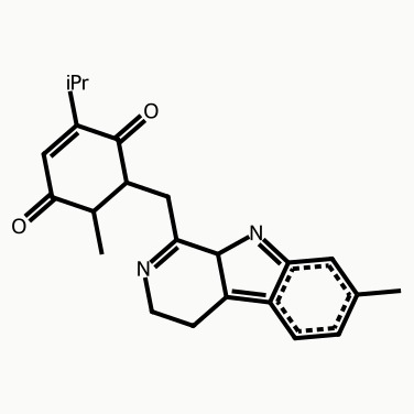 Cc1ccc2c(c1)=NC1C(CC3C(=O)C(C(C)C)=CC(=O)C3C)=NCCC=21